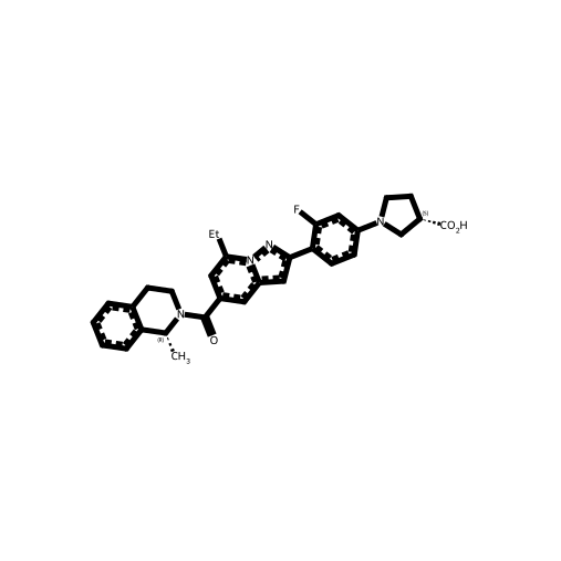 CCc1cc(C(=O)N2CCc3ccccc3[C@H]2C)cc2cc(-c3ccc(N4CC[C@H](C(=O)O)C4)cc3F)nn12